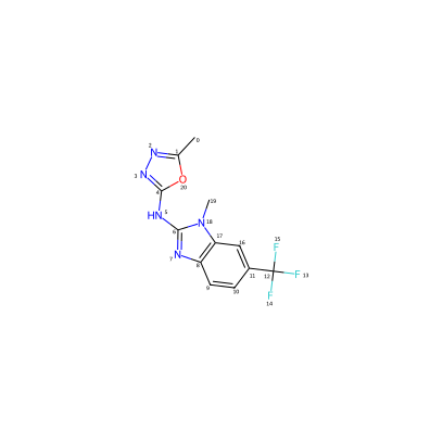 Cc1nnc(Nc2nc3ccc(C(F)(F)F)cc3n2C)o1